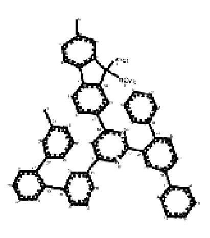 CCCCCCCCC1(CCCCCCCC)c2cc(C)ccc2-c2ccc(-c3cc(-c4cccc(-c5ccccc5-c5cccc(C)c5)c4)nc(-c4cc(-c5ccccc5)ccc4-c4ccccc4)n3)cc21